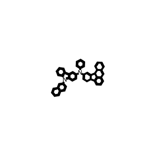 C1=CC2=Cc3cccc4c3C(C3=CC(N(c5ccccc5)c5ccc6c(c5)c5ccccc5n6-c5ccc6ccccc6c5)=CCC34)C2C=C1